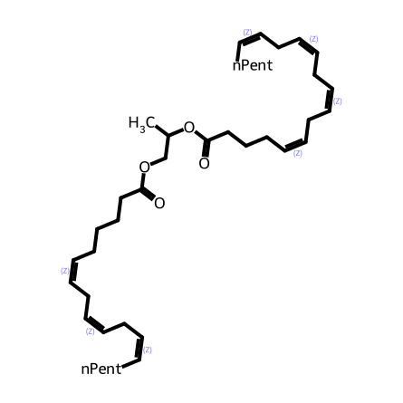 CCCCC/C=C\C/C=C\C/C=C\C/C=C\CCCC(=O)OC(C)COC(=O)CCCC/C=C\C/C=C\C/C=C\CCCCC